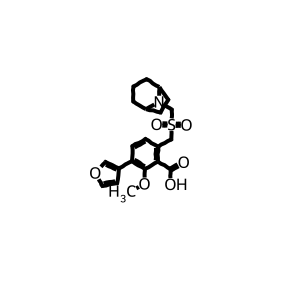 COc1c(-c2ccoc2)ccc(CS(=O)(=O)CN2C3CCCC2CC3)c1C(=O)O